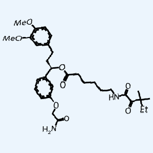 CCC(C)(C)C(=O)C(=O)NCCCCCC(=O)O[C@H](CCc1ccc(OC)c(OC)c1)c1cccc(OCC(N)=O)c1